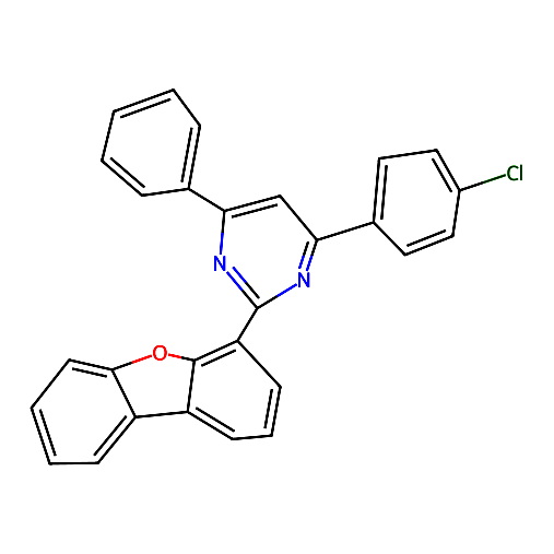 Clc1ccc(-c2cc(-c3ccccc3)nc(-c3cccc4c3oc3ccccc34)n2)cc1